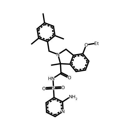 CCOc1cccc2c1CN(Cc1c(C)cc(C)cc1C)C2(C)C(=O)NS(=O)(=O)c1cccnc1N